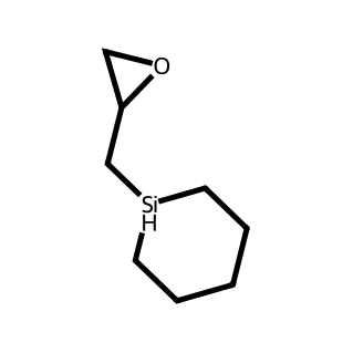 C1CC[SiH](CC2CO2)CC1